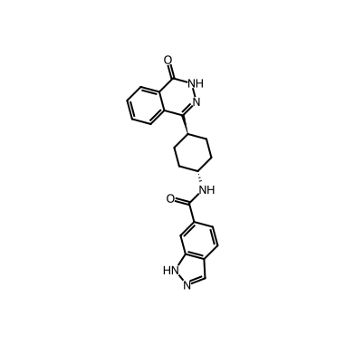 O=C(N[C@H]1CC[C@H](c2n[nH]c(=O)c3ccccc32)CC1)c1ccc2cn[nH]c2c1